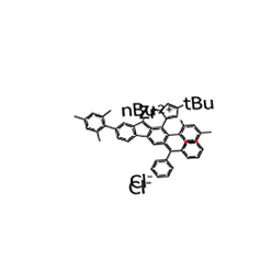 CCCCC1C=C(C(C)(C)C)C=C1c1c(-c2c(C)cc(C)cc2C)c(=C(c2ccccc2)c2ccccc2)cc2c1=[C]([Zr+2])c1cc(-c3c(C)cc(C)cc3C)ccc1-2.[Cl-].[Cl-]